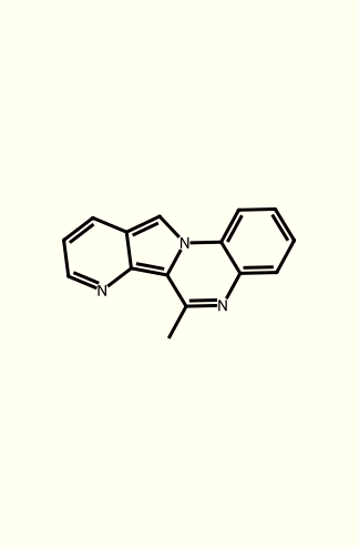 Cc1nc2ccccc2n2cc3cccnc3c12